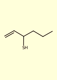 C=CC(S)CCC